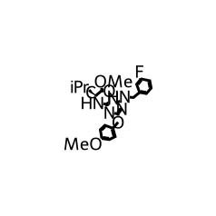 COC(=O)[C@H](CC(C)C)Nc1nc(NCc2cccc(F)c2)nc(Oc2ccc(OC)cc2)n1